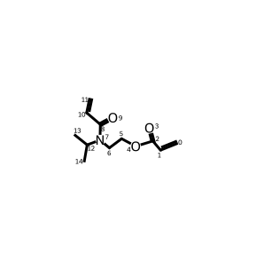 C=CC(=O)OCCN(C(=O)C=C)C(C)C